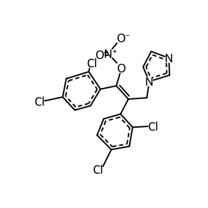 O=[N+]([O-])OC(=C(Cn1ccnc1)c1ccc(Cl)cc1Cl)c1ccc(Cl)cc1Cl